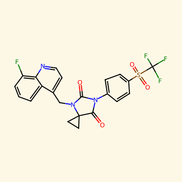 O=C1N(c2ccc(S(=O)(=O)C(F)(F)F)cc2)C(=O)C2(CC2)N1Cc1ccnc2c(F)cccc12